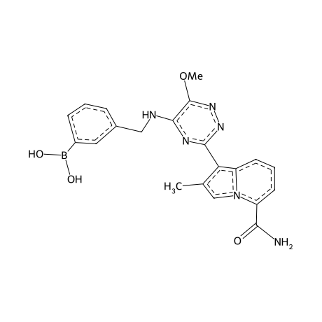 COc1nnc(-c2c(C)cn3c(C(N)=O)cccc23)nc1NCc1cccc(B(O)O)c1